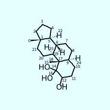 C[C@@]12CCC[C@H]1[C@@H]1CC[C@H]3CCC(O)C(O)(O)[C@]3(C)[C@H]1CC2